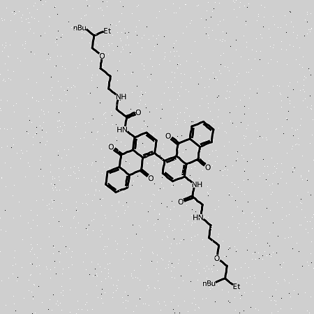 CCCCC(CC)COCCCNCC(=O)Nc1ccc(-c2ccc(NC(=O)CNCCCOCC(CC)CCCC)c3c2C(=O)c2ccccc2C3=O)c2c1C(=O)c1ccccc1C2=O